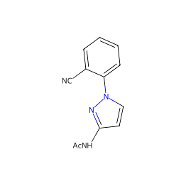 CC(=O)Nc1ccn(-c2ccccc2C#N)n1